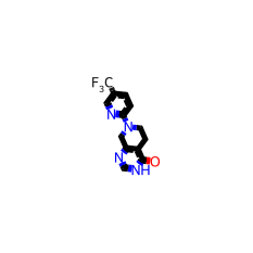 O=c1[nH]cnc2c1CCN(c1ccc(C(F)(F)F)cn1)C2